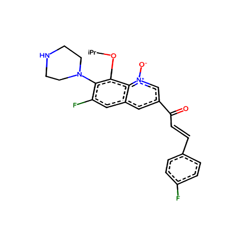 CC(C)Oc1c(N2CCNCC2)c(F)cc2cc(C(=O)C=Cc3ccc(F)cc3)c[n+]([O-])c12